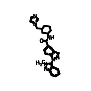 Cn1nc2ccccc2c1-n1ncc2cc(C(=O)NC3CCCC(Cn4ccnc4)C3)ccc21